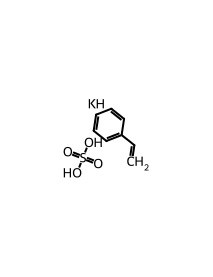 C=Cc1ccccc1.O=S(=O)(O)O.[KH]